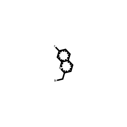 Fc1ccc2ccc(CBr)nc2c1